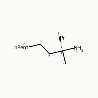 CCCCCCC[C@](C)(N)C(C)C